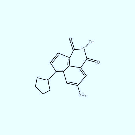 O=C1c2ccc(N3CCCC3)c3cc([N+](=O)[O-])cc(c23)C(=O)N1O